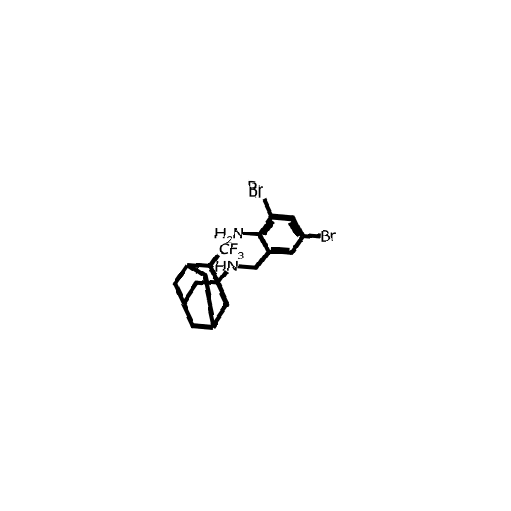 Nc1c(Br)cc(Br)cc1CNC12CC3CC(CC(C3)C1C(F)(F)F)C2